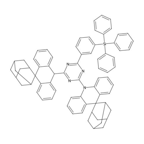 c1ccc([Si](c2ccccc2)(c2ccccc2)c2cccc(-c3nc(C4c5ccccc5C5(c6ccccc64)C4CC6CC(C4)CC5C6)nc(N4c5ccccc5C5(c6ccccc64)C4CC6CC(C4)CC5C6)n3)c2)cc1